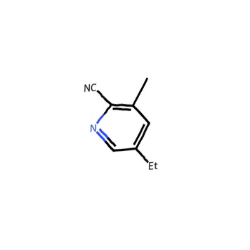 CCc1cnc(C#N)c(C)c1